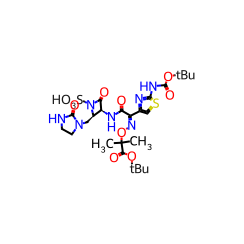 CC(C)(C)OC(=O)Nc1nc(/C(=N/OC(C)(C)C(=O)OC(C)(C)C)C(=O)N[C@@H]2C(=O)N(S(=O)(=O)O)[C@@H]2CN2CCNC2=O)cs1